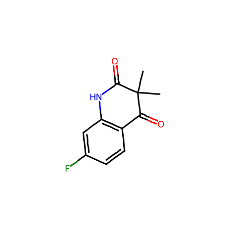 CC1(C)C(=O)Nc2cc(F)ccc2C1=O